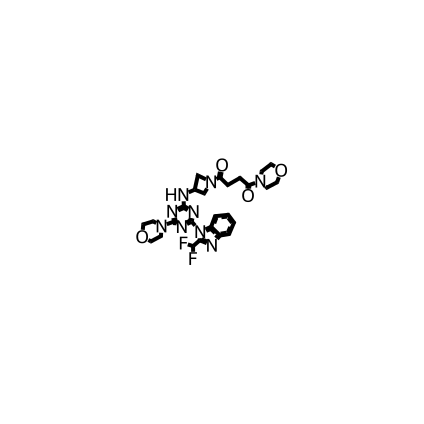 O=C(CCC(=O)N1CC(Nc2nc(N3CCOCC3)nc(-n3c(C(F)F)nc4ccccc43)n2)C1)N1CCOCC1